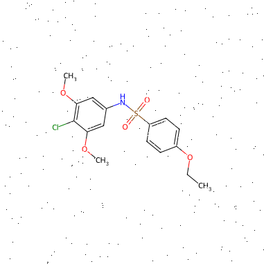 CCOc1ccc(S(=O)(=O)Nc2cc(OC)c(Cl)c(OC)c2)cc1